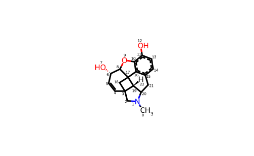 CN1CC23C=C[C@H](O)C4Oc5c(O)ccc6c5C4(C2)[C@@H]3C1C6